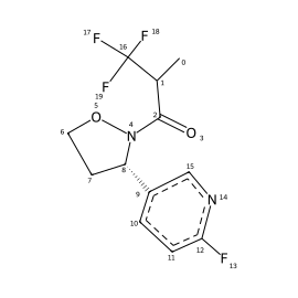 CC(C(=O)N1OCC[C@H]1c1ccc(F)nc1)C(F)(F)F